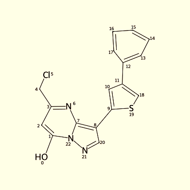 Oc1cc(CCl)nc2c(-c3cc(-c4ccccc4)cs3)cnn12